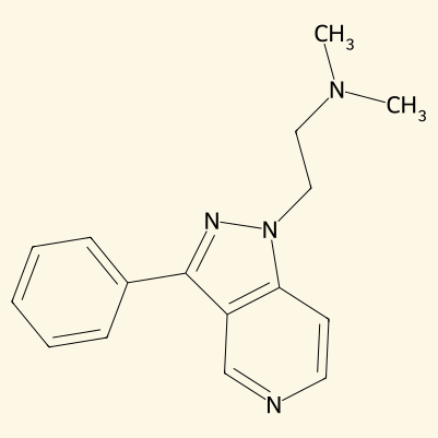 CN(C)CCn1nc(-c2ccccc2)c2cnccc21